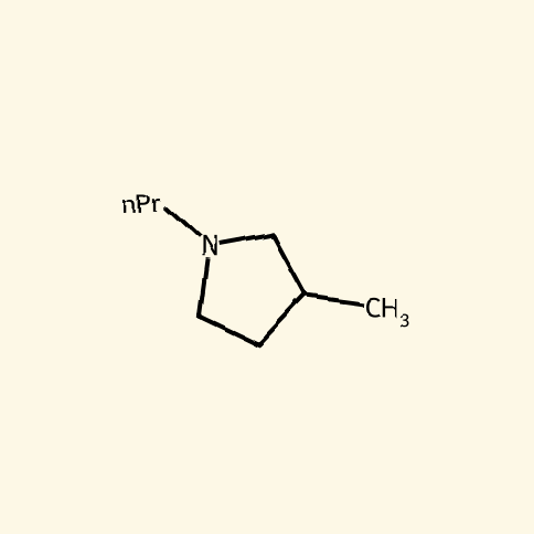 CCCN1CCC(C)C1